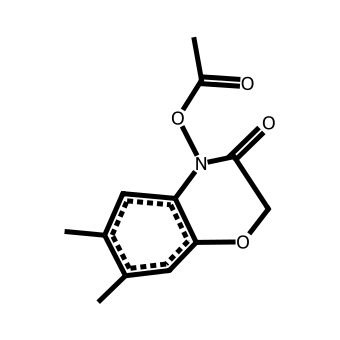 CC(=O)ON1C(=O)COc2cc(C)c(C)cc21